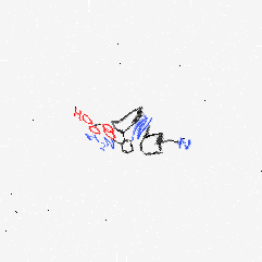 N#Cc1cccc(Cn2c3cccc(OCC(=O)O)c3c3c(C(N)=O)cccc32)c1